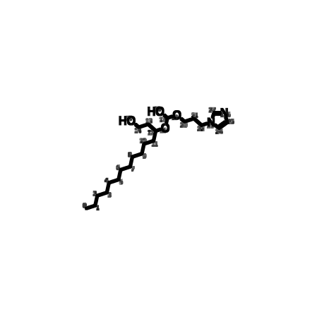 CCCCCCCCCCCCC(CCO)OC(O)OCCCn1ccnc1